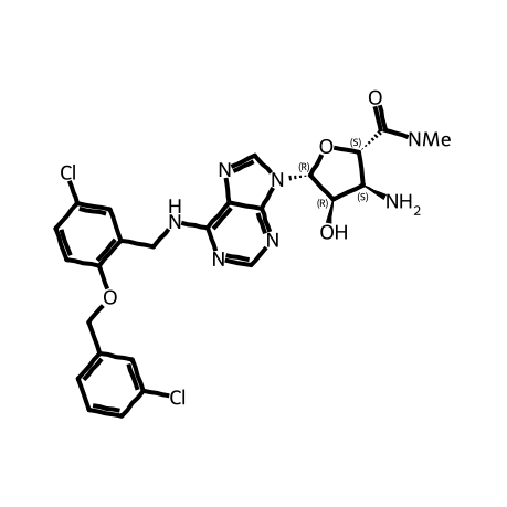 CNC(=O)[C@H]1O[C@@H](n2cnc3c(NCc4cc(Cl)ccc4OCc4cccc(Cl)c4)ncnc32)[C@H](O)[C@@H]1N